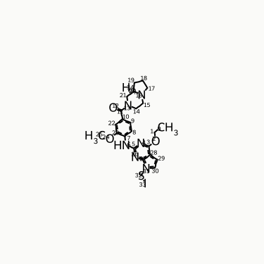 CCOc1nc(Nc2ccc(C(=O)N3CCN4CCC[C@@H]4C3)cc2OC)nc2c1ccn2SI